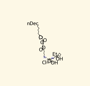 CCCCCCCCCCCCCCCCc1ccc(C(=O)OCCOC(=O)CCC/C=C\C[C@@H]2[C@H](/C=C/C[C@H](O)C3(CC)CCC3)[C@H](O)C[C@@H]2Cl)cc1